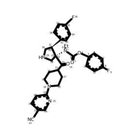 CCN(C(=O)Oc1ccc(F)cc1)[C@]1(C(=O)C2CCN(c3ccc(C#N)cn3)CC2)CNC[C@H]1c1ccc(F)cc1